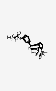 C=CC(=O)Nc1cccc(-c2n[nH]c3c([N+](=O)[O-])cccc23)c1